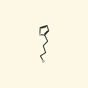 [O]CCCCc1cccs1